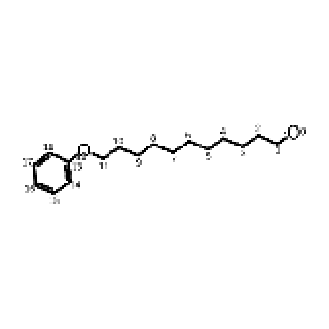 [O]CCCCCCCCCCCOc1ccccc1